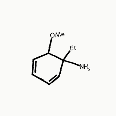 CCC1(N)C=CC=CC1OC